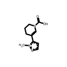 Cn1nccc1C1=CN(C(=O)O)CCC1